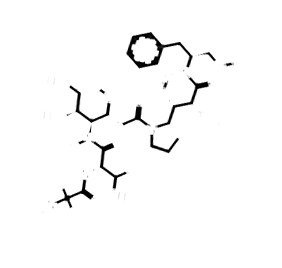 CC[C@H](C)[C@@H]([C@@H](CC(=O)N1CCC[C@H]1[C@H](OC)[C@@H](C)C(=O)N[C@H](COC)Cc1ccccc1)OC)N(C)C(=O)[C@@H](NC(=O)C(C)(C)N)C(C)C